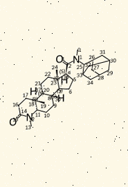 CN(C(=O)[C@H]1CC[C@H]2[C@@H]3CCC4N(C)C(=O)CC[C@]4(C)[C@H]3CC[C@]12C)C1C2CC3CC(C2)CC1C3